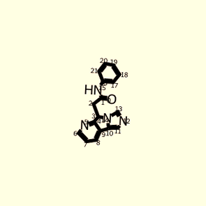 O=C(CC1c2ncccc2-c2cncn21)Nc1ccccc1